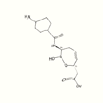 NC1CCC(C(=O)N[C@H]2CC=C[C@H](CC(=O)O)OB2O)CC1